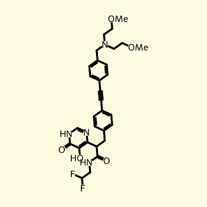 COCCN(CCOC)Cc1ccc(C#Cc2ccc(CC(C(=O)NCC(F)F)c3nc[nH]c(=O)c3O)cc2)cc1